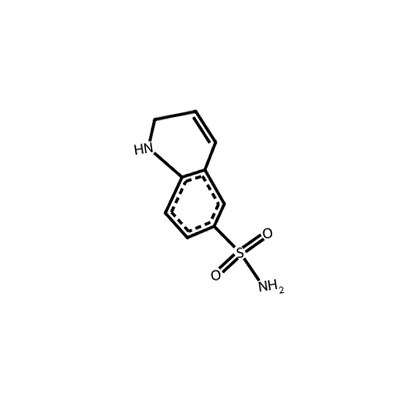 NS(=O)(=O)c1ccc2c(c1)C=CCN2